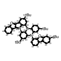 CC(C)(C)c1ccc2c(c1)N(c1cccc3c1oc1cc(C(C)(C)C)ccc13)c1cc(C(C)(C)C)cc3c1B2c1cc(C(C)(C)C)cc2c4oc5ccccc5c4n-3c12